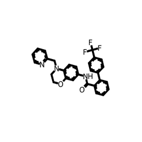 O=C(Nc1ccc2c(c1)OCCN2Cc1ccccn1)c1ccccc1-c1ccc(C(F)(F)F)cc1